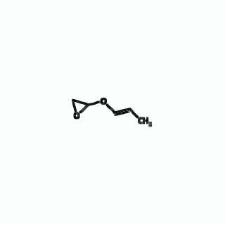 CC=COC1CO1